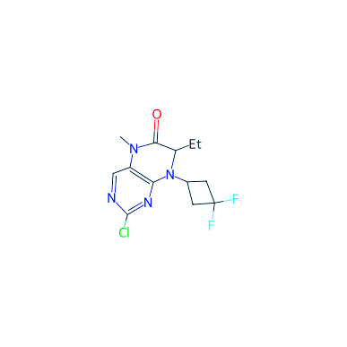 CCC1C(=O)N(C)c2cnc(Cl)nc2N1C1CC(F)(F)C1